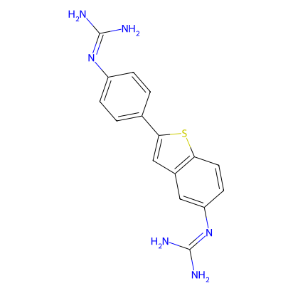 NC(N)=Nc1ccc(-c2cc3cc(N=C(N)N)ccc3s2)cc1